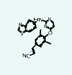 Cc1cc(/C=C/C#N)cc(C)c1Oc1ccnc(Nc2ccc3scnc3c2)n1